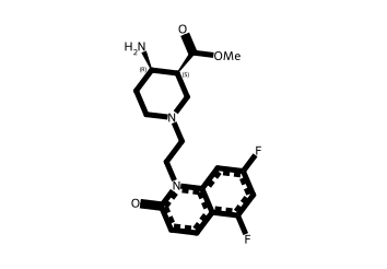 COC(=O)[C@H]1CN(CCn2c(=O)ccc3c(F)cc(F)cc32)CC[C@H]1N